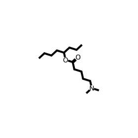 CCCCC(CCC)OC(=O)CCCCN(C)C